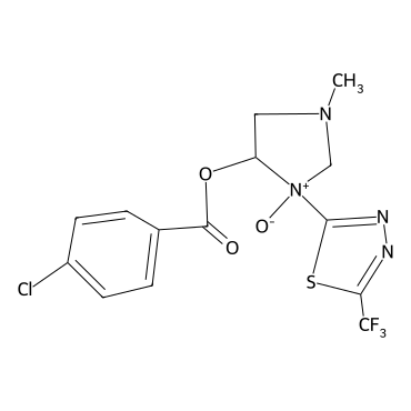 CN1CC(OC(=O)c2ccc(Cl)cc2)[N+]([O-])(c2nnc(C(F)(F)F)s2)C1